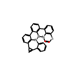 C1=C2c3ccccc3N3B4c5c(cccc5-c5cccc(c53)C12)-c1cccc2c1N4c1ccccc1S2